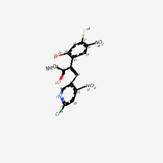 COC(=O)C(=Cc1cnc(Cl)cc1[N+](=O)[O-])c1cc([N+](=O)[O-])c(F)cc1Br